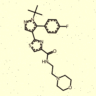 CC(C)(C)n1ncc(-c2nc(C(=O)NCCN3CCOCC3)cs2)c1-c1ccc(F)cc1